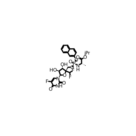 CC(C)OC(=O)[C@H](C)NP(=O)(OC[C@@]1(C(F)F)O[C@@H](n2cc(F)c(=O)[nH]c2=O)[C@@H](O)[C@@H]1O)Oc1ccc2ccccc2c1